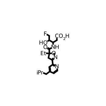 CCC1(C(=O)NC(CC(=O)O)C(O)CF)CC(c2cc(CC(C)C)ccn2)=NO1